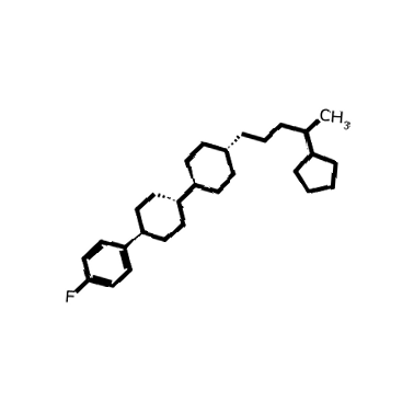 CC(CCC[C@H]1CC[C@H]([C@H]2CC[C@H](c3ccc(F)cc3)CC2)CC1)C1CCCC1